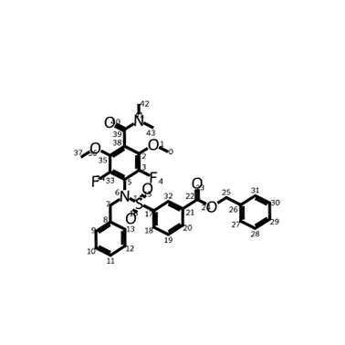 COc1c(F)c(N(Cc2ccccc2)S(=O)(=O)c2cccc(C(=O)OCc3ccccc3)c2)c(F)c(OC)c1C(=O)N(C)C